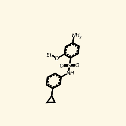 CCOc1cc(N)ccc1S(=O)(=O)Nc1cccc(C2CC2)c1